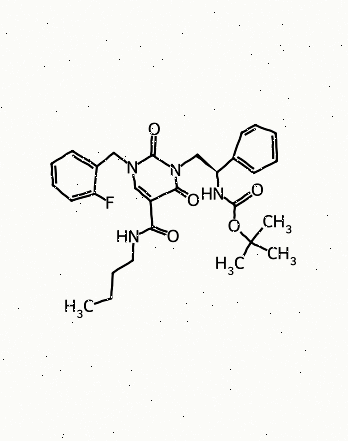 CCCCNC(=O)c1cn(Cc2ccccc2F)c(=O)n(C[C@H](NC(=O)OC(C)(C)C)c2ccccc2)c1=O